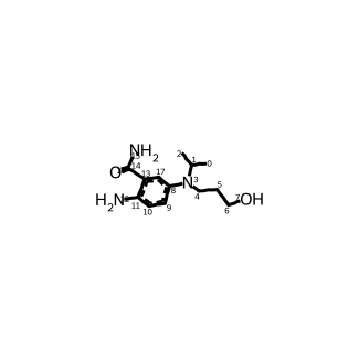 CC(C)N(CCCO)c1ccc(N)c(C(N)=O)c1